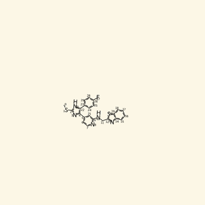 CSc1nc(-c2ccnc(NCc3nc4ccccc4s3)c2)c(-c2ccc(F)cc2)[nH]1